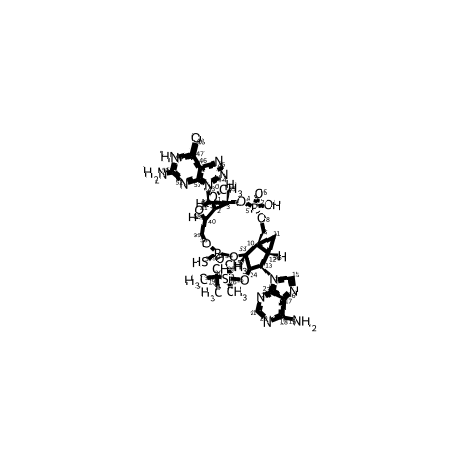 CO[C@H]1[C@H]2OP(=O)(O)OC[C@@]34C[C@@H]3[C@@H](n3cnc5c(N)ncnc53)C(O[Si](C)(C)C(C)(C)C)[C@@H]4OP(=O)(S)OC[C@H]1O[C@H]2n1nnc2c(=O)[nH]c(N)nc21